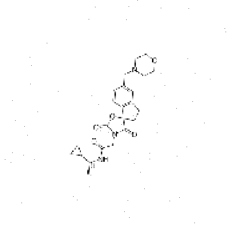 C[C@H](NC(=O)CN1C(=O)OC2(CCc3cc(CN4CCOCC4)ccc32)C1=O)C1CC1